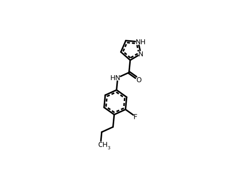 CCCc1ccc(NC(=O)c2cc[nH]n2)cc1F